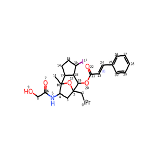 CC(C)CC12CC(NC(=O)CO)C(C)(O1)C1CCC(I)C1C2OC(=O)/C=C/c1ccccc1